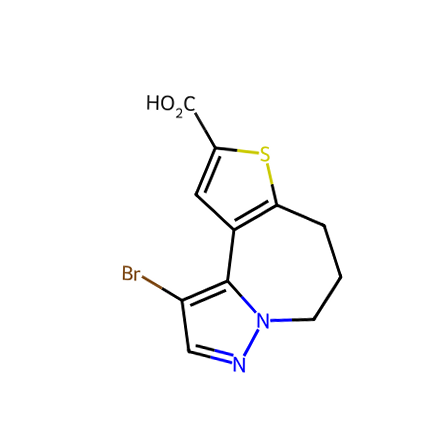 O=C(O)c1cc2c(s1)CCCn1ncc(Br)c1-2